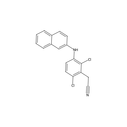 N#CCc1c(Cl)ccc(Nc2ccc3ccccc3c2)c1Cl